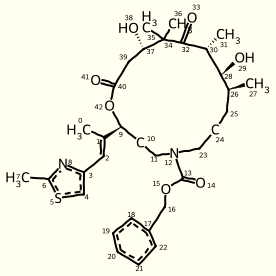 C/C(=C\c1csc(C)n1)[C@@H]1CCN(C(=O)OCc2ccccc2)CCC[C@H](C)[C@H](O)[C@@H](C)C(=O)C(C)(C)[C@@H](O)CC(=O)O1